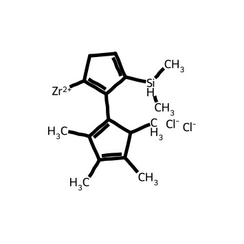 CC1=C(C)C(C)C(C2=[C]([Zr+2])CC=C2[SiH](C)C)=C1C.[Cl-].[Cl-]